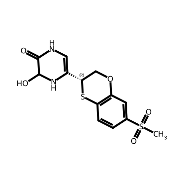 CS(=O)(=O)c1ccc2c(c1)OC[C@@H](C1=CNC(=O)C(O)N1)S2